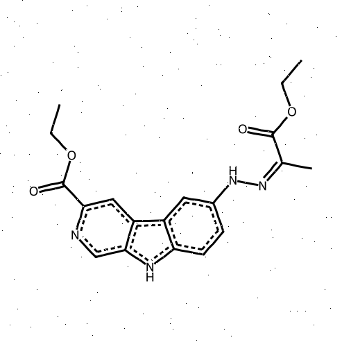 CCOC(=O)/C(C)=N\Nc1ccc2[nH]c3cnc(C(=O)OCC)cc3c2c1